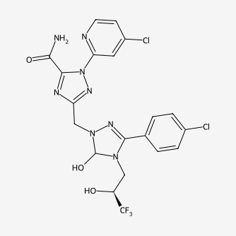 NC(=O)c1nc(CN2N=C(c3ccc(Cl)cc3)N(C[C@H](O)C(F)(F)F)C2O)nn1-c1cc(Cl)ccn1